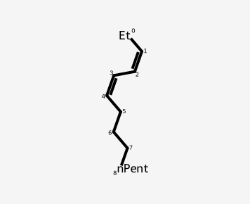 CC/C=C\C=C/CCCCCCCC